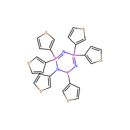 c1cc(N2P(c3ccsc3)N=P(c3ccsc3)(c3ccsc3)N=P2(c2ccsc2)c2ccsc2)cs1